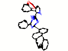 c1ccc(-c2nc(-c3cccc4c3ccc3ccc5ccccc5c34)nc(-c3nccc4oc5ccccc5c34)n2)cc1